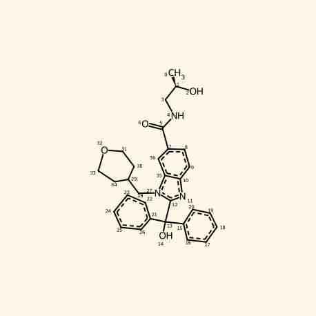 C[C@@H](O)CNC(=O)c1ccc2nc(C(O)(c3ccccc3)c3ccccc3)n(CC3CCOCC3)c2c1